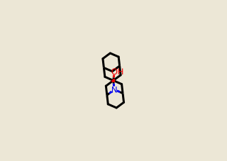 OC1CC2CCCC(C1)N2C1CC2CCCC(C2)C1